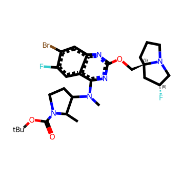 CC1C(N(C)c2nc(OC[C@@]34CCCN3C[C@H](F)C4)nc3cc(Br)c(F)cc23)CCN1C(=O)OC(C)(C)C